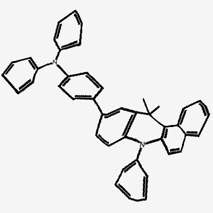 CC1(C)c2cc(-c3ccc(N(c4ccccc4)c4ccccc4)cc3)ccc2N(c2ccccc2)c2ccc3ccccc3c21